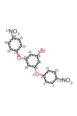 O=[N+]([O-])c1ccc(Oc2cc(Br)cc(Oc3ccc([N+](=O)[O-])cc3)c2)cc1